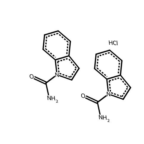 Cl.NC(=O)n1ccc2ccccc21.NC(=O)n1ccc2ccccc21